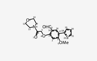 COc1cc(OCC(=O)N2CCOCC2)c(C=O)cc1-c1cccs1